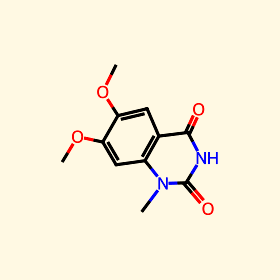 COc1cc2c(=O)[nH]c(=O)n(C)c2cc1OC